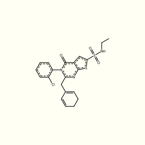 CCNS(=O)(=O)c1cc2c(=O)n(-c3ccccc3Cl)c(CC3=CCCC=C3)nc2s1